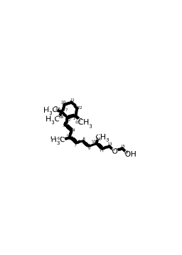 CC1=C(/C=C/C(C)=C\C=C\C(C)=C\COCO)C(C)(C)CCC1